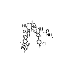 CCOP(=O)(OCC)C(F)(F)c1ccc2sc(C(=O)N[C@H]3CNCC[C@H]4CC[C@@H](C(=O)N[C@@H](CCC(N)=O)c5nc(-c6ccc(F)c(Cl)c6)cs5)N4C3=O)cc2c1